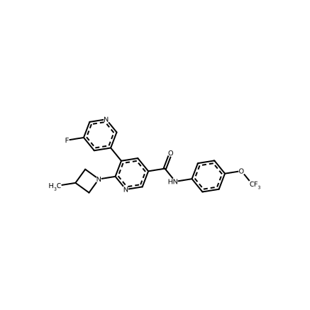 CC1CN(c2ncc(C(=O)Nc3ccc(OC(F)(F)F)cc3)cc2-c2cncc(F)c2)C1